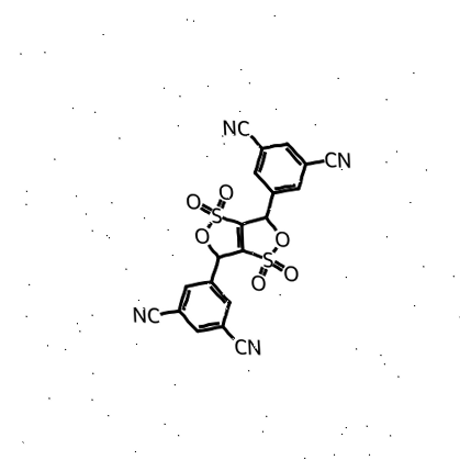 N#Cc1cc(C#N)cc(C2OS(=O)(=O)C3=C2S(=O)(=O)OC3c2cc(C#N)cc(C#N)c2)c1